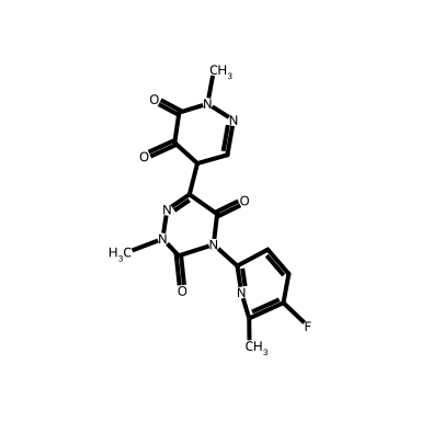 Cc1nc(-n2c(=O)c(C3C=NN(C)C(=O)C3=O)nn(C)c2=O)ccc1F